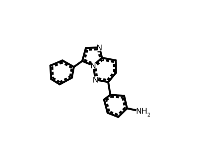 Nc1cccc(-c2ccc3ncc(-c4ccccc4)n3n2)c1